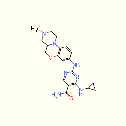 CN1CCN2c3ccc(Nc4ncc(C(N)=O)c(NC5CC5)n4)cc3OCC2C1